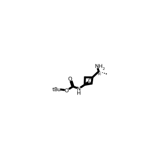 C[C@@H](N)C12CC(NC(=O)OC(C)(C)C)(C1)C2